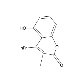 CCCc1c(C)c(=O)oc2cccc(O)c12